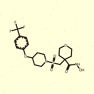 O=C(NO)C1(CS(=O)(=O)N2CCC(Oc3ccc(C(F)(F)F)cc3)CC2)CCOCC1